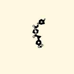 O=C(CSc1ccc(F)cc1)N1CCN(C(=O)C2CC2c2ccc3c(c2)OCO3)CC1